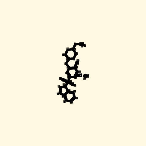 CCN1CCN(Cc2cc(S(=O)(=O)n3ccc4ccccc43)ccc2Cl)CC1.Cl.Cl